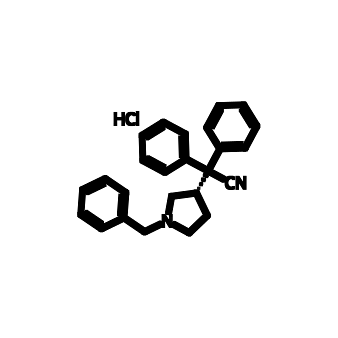 Cl.N#CC(c1ccccc1)(c1ccccc1)[C@@H]1CCN(Cc2ccccc2)C1